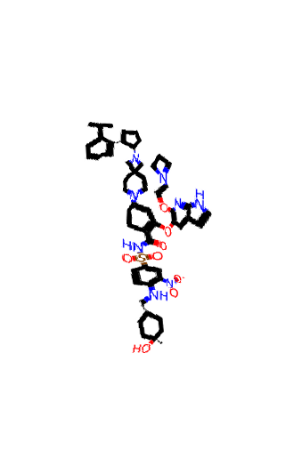 CC(C)c1ccccc1[C@@H]1CCC[C@@H]1N1CC2(CCN(c3ccc(C(=O)NS(=O)(=O)c4ccc(NC[C@H]5CC[C@](C)(O)CC5)c([N+](=O)[O-])c4)c(Oc4cc5cc[nH]c5nc4OCCN4CCC4)c3)CC2)C1